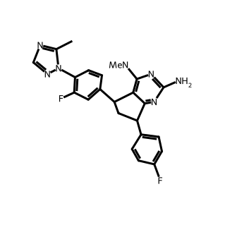 CNc1nc(N)nc2c1C(c1ccc(-n3ncnc3C)c(F)c1)CC2c1ccc(F)cc1